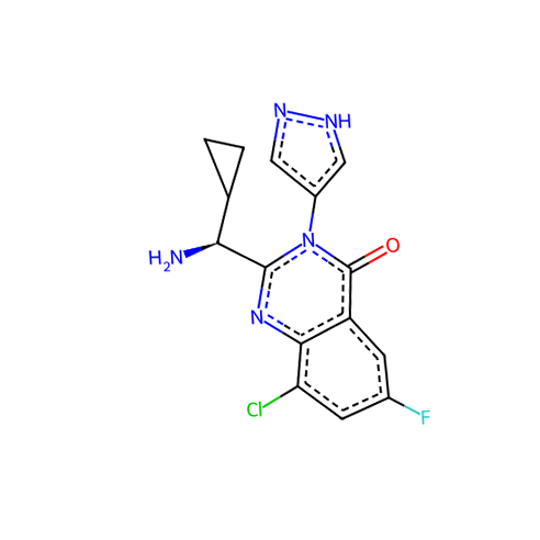 N[C@H](c1nc2c(Cl)cc(F)cc2c(=O)n1-c1cn[nH]c1)C1CC1